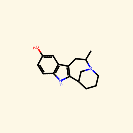 CC1Cc2c([nH]c3ccc(O)cc23)C2CCCN1C2